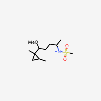 COC(CCC(C)NS(C)(=O)=O)C1(C)CC1C